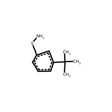 CC(C)(C)c1cccc(SN)c1